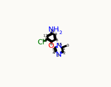 Cc1cncc(Oc2ccc(N)cc2Cl)n1